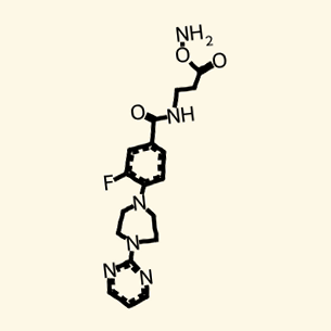 NOC(=O)CCNC(=O)c1ccc(N2CCN(c3ncccn3)CC2)c(F)c1